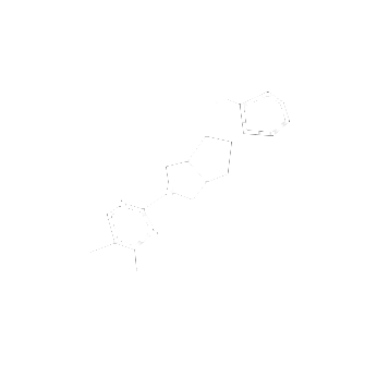 Cc1cnc(N2C[C@H]3C[C@H](c4ccccc4C(F)(F)F)C[C@H]3C2)nc1C(=O)O